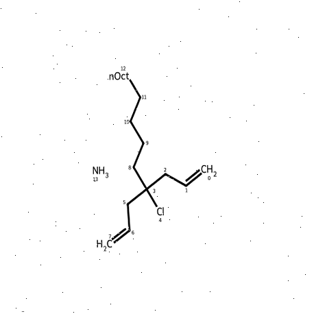 C=CCC(Cl)(CC=C)CCCCCCCCCCCC.N